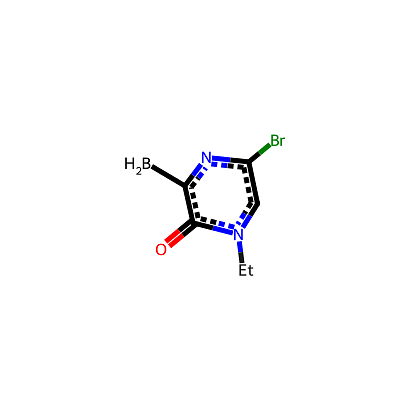 Bc1nc(Br)cn(CC)c1=O